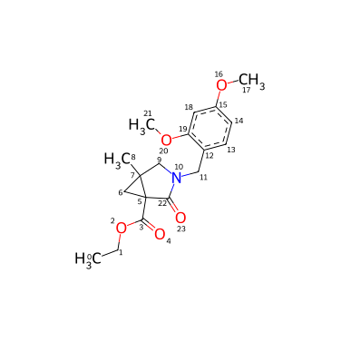 CCOC(=O)C12CC1(C)CN(Cc1ccc(OC)cc1OC)C2=O